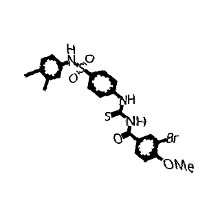 COc1ccc(C(=O)NC(=S)Nc2ccc(S(=O)(=O)Nc3ccc(C)c(C)c3)cc2)cc1Br